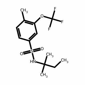 CCC(C)(C)NS(=O)(=O)c1ccc(C)c(OC(F)(F)F)c1